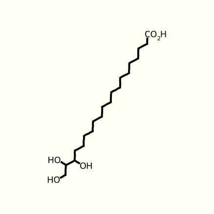 O=C(O)CCCCCCCCCCCCCCCCC(O)C(O)CO